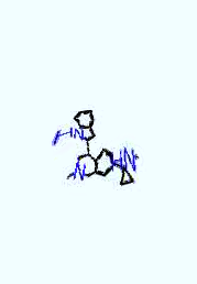 CNC1(c2ccc3c(c2)CN(C)CC3c2cc3ccccc3[nH]2)CC1